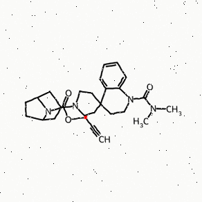 C#CCOC(=O)N1C2CCC1CC(N1CCC3(CCN(C(=O)N(C)C)c4ccccc43)CC1)C2